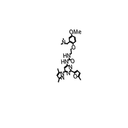 COc1ccc(OCCNC(=O)Nc2cc(-n3nc(C)cc3C)nc(-c3ccc(C)o3)n2)c(CN(C)C)c1